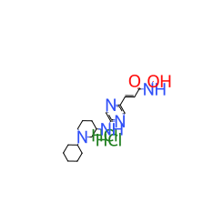 Cl.Cl.O=C(/C=C/c1cnc(N[C@@H]2CCCN(C3CCCCC3)C2)cn1)NO